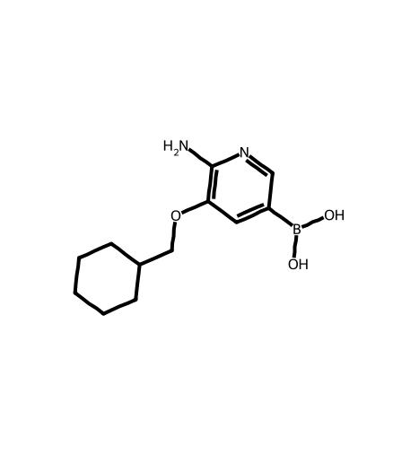 Nc1ncc(B(O)O)cc1OCC1CCCCC1